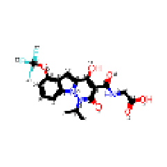 CC(C)n1c(=O)c(C(=O)NCC(=O)O)c(O)c2cc3c(OC(F)(F)F)cccc3n21